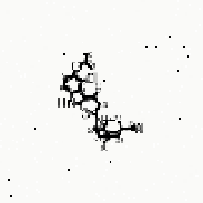 CC(C)Oc1ccc2[nH]cc(C(C)CC(=O)N3C4CC5(C)CC3CC(C#N)(C4)C5)c2c1Cl